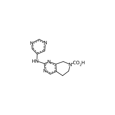 O=C(O)N1CCc2cnc(Nc3cncnc3)nc2C1